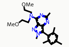 COCCN(CCOC)c1nc(C)nc2c(-c3c(C)cc(C)cc3C)n(C)nc12